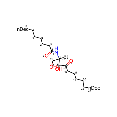 CCCCCCCCCCCCCCCC(=O)NC(CC)(CO)C(O)C(=O)CCCCCCCCCCCCCCC